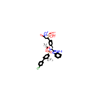 O=C1CC(c2ccc(C[C@@H](c3nc4ccccc4[nH]3)N(OC(=O)C(F)(F)F)S(=O)(=O)c3ccc(-c4ccc(Cl)cc4)c(C(F)(F)F)c3)cc2)S(O)(O)N1